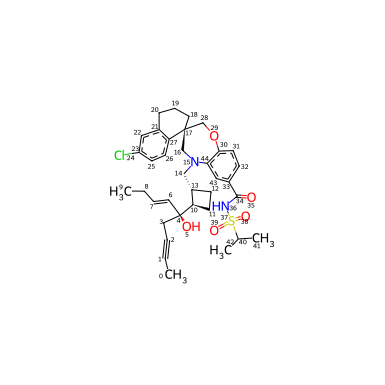 CC#CC[C@](O)(/C=C/CC)[C@@H]1CC[C@H]1CN1C[C@@]2(CCCc3cc(Cl)ccc32)COc2ccc(C(=O)NS(=O)(=O)C(C)C)cc21